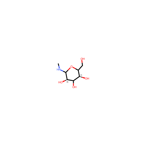 CNC1OC(CO)[C@@H](O)C(O)[C@H]1O